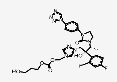 C[C@@H](N1CCN(c2ccc(-n3cnnn3)cc2)C1=O)[C@](O)(C[n+]1cn(COC(=O)OCCCO)cn1)c1ccc(F)cc1F